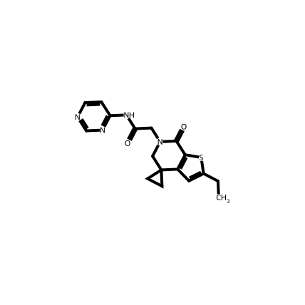 CCc1cc2c(s1)C(=O)N(CC(=O)Nc1ccncn1)CC21CC1